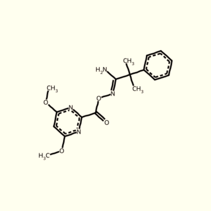 COc1cc(OC)nc(C(=O)ON=C(N)C(C)(C)c2ccccc2)n1